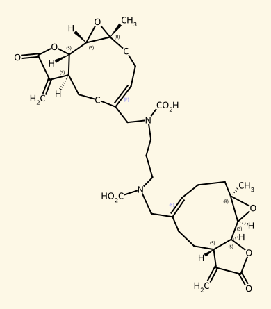 C=C1C(=O)O[C@H]2[C@H]1CC/C(CN(CCCN(C/C1=C/CC[C@@]3(C)O[C@H]3[C@H]3OC(=O)C(=C)[C@@H]3CC1)C(=O)O)C(=O)O)=C\CC[C@@]1(C)O[C@@H]21